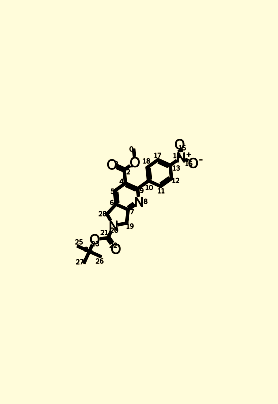 COC(=O)c1cc2c(nc1-c1ccc([N+](=O)[O-])cc1)CN(C(=O)OC(C)(C)C)C2